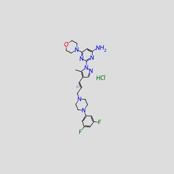 Cc1c(/C=C/CN2CCN(c3cc(F)cc(F)c3)CC2)cnn1-c1nc(N)cc(N2CCOCC2)n1.Cl